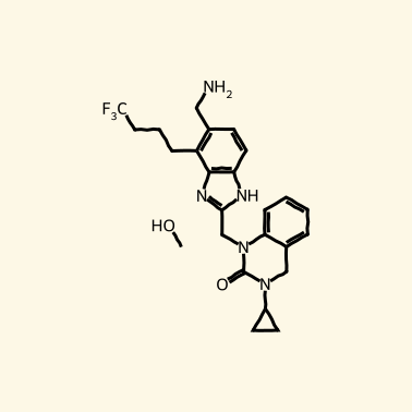 CO.NCc1ccc2[nH]c(CN3C(=O)N(C4CC4)Cc4ccccc43)nc2c1CCCC(F)(F)F